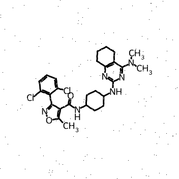 Cc1onc(-c2c(Cl)cccc2Cl)c1C(=O)NC1CCC(Nc2nc3c(c(N(C)C)n2)CCCC3)CC1